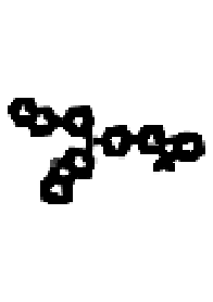 CC1(C)c2ccccc2-c2ccc(-c3ccc(N(c4cccc(-c5ccc6ccccc6c5)c4)c4ccc5c(c4)oc4ccccc45)cc3)cc21